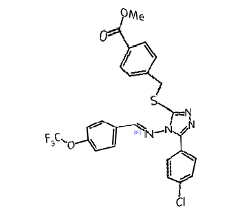 COC(=O)c1ccc(CSc2nnc(-c3ccc(Cl)cc3)n2/N=C/c2ccc(OC(F)(F)F)cc2)cc1